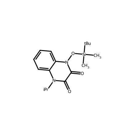 CC(C)n1c(=O)c(=O)n(O[Si](C)(C)C(C)(C)C)c2ccccc21